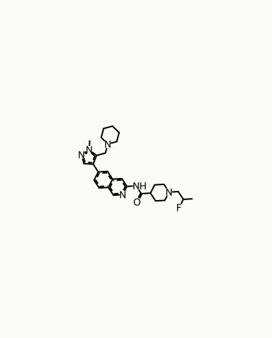 CC(F)CN1CCC(C(=O)Nc2cc3cc(-c4cnn(C)c4CN4CCCCC4)ccc3cn2)CC1